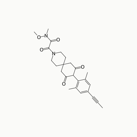 CC#Cc1cc(C)c(C2C(=O)CC3(CCN(C(=O)C(=O)N(C)OC)CC3)CC2=O)c(C)c1